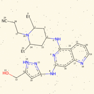 CCC1CC(Nc2nc(Nc3cc(CO)[nH]n3)cc3ncccc23)CC(CC)N1CCC#N